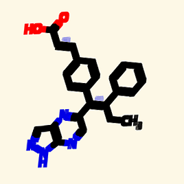 CC/C(=C(/c1ccc(/C=C/C(=O)O)cc1)c1cnc2[nH]ncc2n1)c1ccccc1